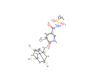 CS(=O)(=O)NC(=O)c1cnc(OCC23CC4(F)CC(F)(CC(F)(C4)C2)C3)c(Cl)c1